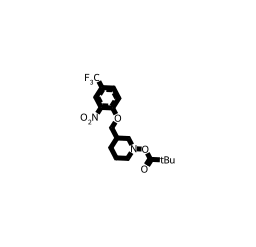 CC(C)(C)C(=O)ON1CCCC(COc2ccc(C(F)(F)F)cc2[N+](=O)[O-])C1